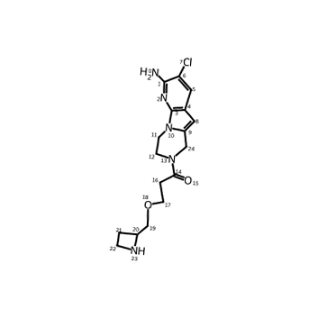 Nc1nc2c(cc1Cl)cc1n2CCN(C(=O)CCOCC2CCN2)C1